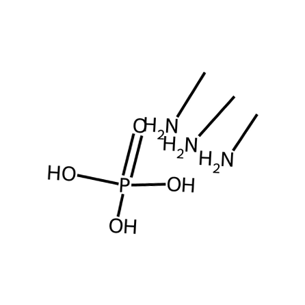 CN.CN.CN.O=P(O)(O)O